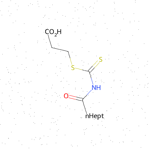 CCCCCCCC(=O)NC(=S)SCCC(=O)O